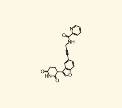 O=C1CCC(c2coc3ccc(C#CCNC(=O)c4ccccn4)cc23)C(=O)N1